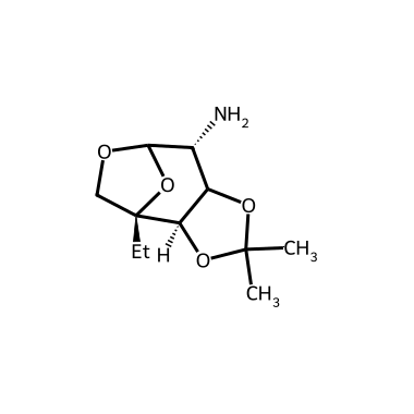 CC[C@@]12COC(O1)[C@H](N)C1OC(C)(C)O[C@H]12